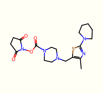 Cc1nc(N2CCCCC2)sc1CN1CCN(C(=O)ON2C(=O)CCC2=O)CC1